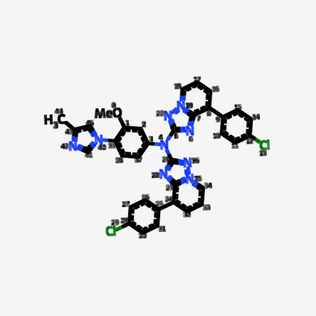 COc1cc(N(c2nc3c(-c4ccc(Cl)cc4)cccn3n2)c2nc3c(-c4ccc(Cl)cc4)cccn3n2)ccc1-n1cnc(C)c1